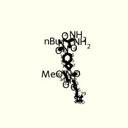 CCCCN1C(=O)C(=C(N)N)C(=O)N(C2CCC3(CC2)CC(N2C(=O)N(COCC[Si](C)(C)C)C(=O)[C@@]2(C)COC)C3)C1=O